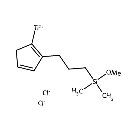 CO[Si](C)(C)CCCC1=[C]([Ti+2])CC=C1.[Cl-].[Cl-]